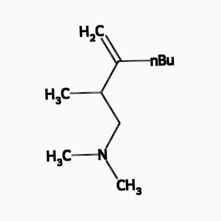 C=C(CCCC)C(C)CN(C)C